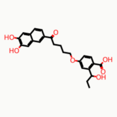 CCC(O)c1cc(OCCCCC(=O)c2ccc3cc(O)c(O)cc3c2)ccc1C(=O)O